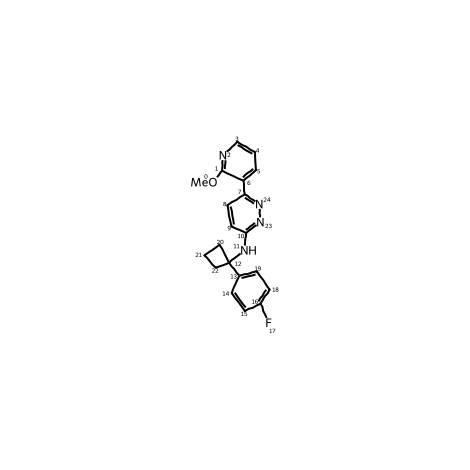 COc1ncccc1-c1ccc(NC2(c3ccc(F)cc3)CCC2)nn1